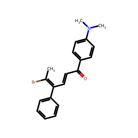 CC(Br)=C(C=CC(=O)c1ccc(N(C)C)cc1)c1ccccc1